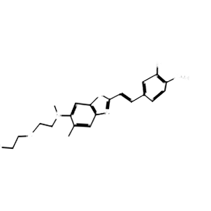 COc1ccc(/C=C/c2nc3cc(C)c(N(C)CCOCCF)cc3s2)cc1Br